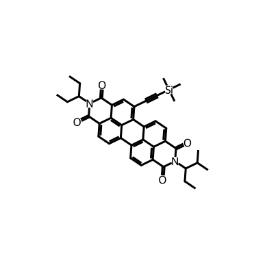 CCC(CC)N1C(=O)c2ccc3c4ccc5c6c(ccc(c7c(C#C[Si](C)(C)C)cc(c2c37)C1=O)c64)C(=O)N(C(CC)C(C)C)C5=O